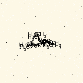 CC(C)(C)OC(=O)NCCCSc1nc2cc(OC(=O)OC(C)(C)C)ccc2n1COCC[Si](C)(C)C